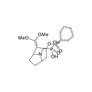 COC(OC)=C1C(OC(=O)c2ccccc2)CC2CCC1N2CP(=O)(O)O